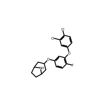 Fc1ccc(OC2CC3CCC(C2)N3)cc1Oc1ccc(Cl)c(Cl)c1